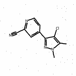 Cc1c(Cl)c(-c2ccnc(C#N)c2)nn1C